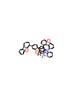 CC1(N(c2ccccc2)c2cccc3oc4cccc(-c5cccc6oc7cc(-c8cccc9c8oc8ccccc89)ccc7c56)c4c23)C=CC=CC1